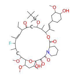 CCC1/C=C(\C)C(F)C(C)CC(OC)C2OC(O)(C(=O)C(=O)N3CCCCC3C(=O)OC(C(C)=CC3CCC(O)C(OC)C3)C(C)C(O[Si](C)(C)C(C)(C)C)CC1=O)C(C)CC2OC